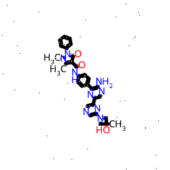 Cc1c(C(=O)Nc2ccc(-c3nc(-c4cncc(N5CC(C)(O)C5)n4)cnc3N)cc2)c(=O)n(-c2ccccc2)n1C